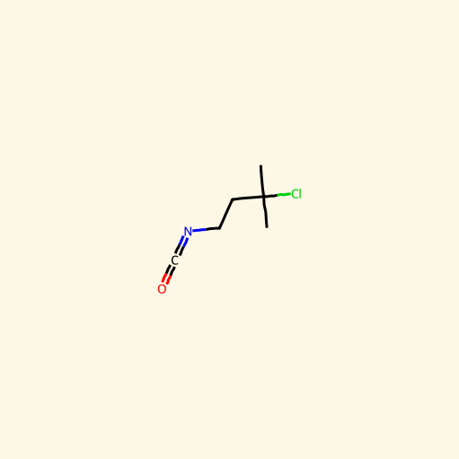 CC(C)(Cl)CCN=C=O